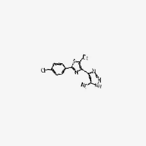 CCc1sc(-c2ccc(Cl)cc2)nc1-c1nn[nH]c1C#N